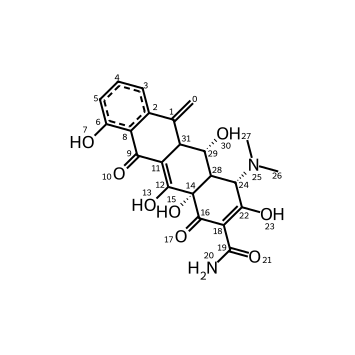 C=C1c2cccc(O)c2C(=O)C2=C(O)[C@]3(O)C(=O)C(C(N)=O)=C(O)[C@@H](N(C)C)C3[C@@H](O)C12